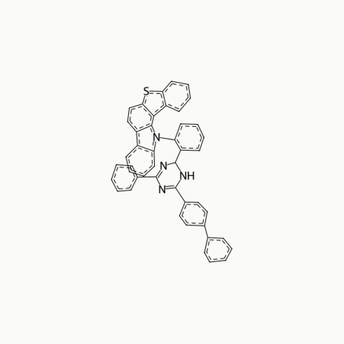 c1ccc(C2=NC(c3ccccc3-n3c4ccccc4c4ccc5sc6ccccc6c5c43)NC(c3ccc(-c4ccccc4)cc3)=N2)cc1